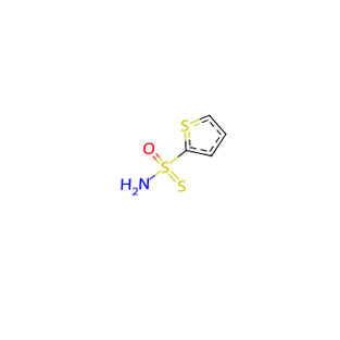 NS(=O)(=S)c1cccs1